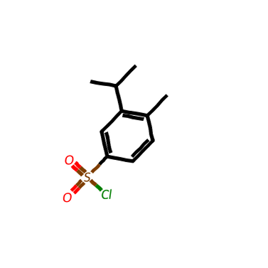 Cc1ccc(S(=O)(=O)Cl)cc1C(C)C